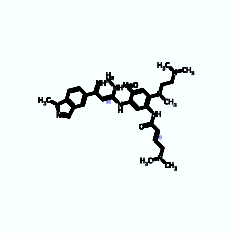 COc1cc(N(C)CCN(C)C)c(NC(=O)/C=C/CN(C)C)cc1N/C(=C/C(=N)c1ccc2c(cnn2C)c1)NN